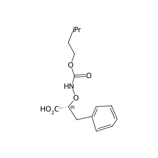 CC(C)CCOC(=O)NO[C@H](Cc1ccccc1)C(=O)O